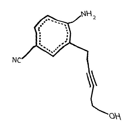 N#Cc1ccc(N)c(CC#CCO)c1